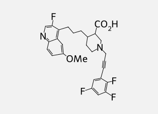 COc1ccc2ncc(F)c(CCCC3CCN(CC#Cc4cc(F)cc(F)c4F)CC3C(=O)O)c2c1